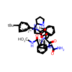 CC(C)(C)c1ccc(C(=CC2CCCN2[C@]2(C(=O)NC(=O)O)c3ccc(cc3[N+](=O)[O-])C2(C)CC(N)=O)C2CCCN2[C@]2(C(=O)NC(=O)O)c3ccc(cc3[N+](=O)[O-])C2(C)CC(N)=O)cc1